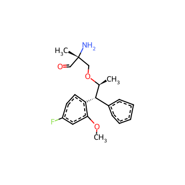 COc1cc(F)ccc1[C@@H](c1ccccc1)[C@H](C)OC[C@@](C)(N)C=O